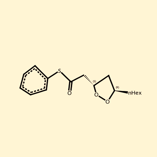 CCCCCC[C@@H]1C[C@@H](CC(=O)Sc2ccccc2)OO1